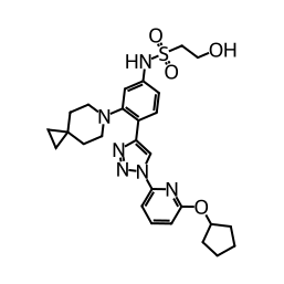 O=S(=O)(CCO)Nc1ccc(-c2cn(-c3cccc(OC4CCCC4)n3)nn2)c(N2CCC3(CC2)CC3)c1